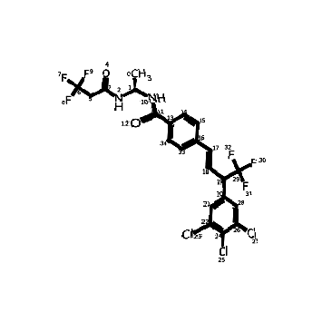 C[C@H](NC(=O)CC(F)(F)F)NC(=O)c1ccc(/C=C/C(c2cc(Cl)c(Cl)c(Cl)c2)C(F)(F)F)cc1